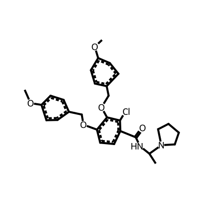 COc1ccc(COc2ccc(C(=O)NC(C)N3CCCC3)c(Cl)c2OCc2ccc(OC)cc2)cc1